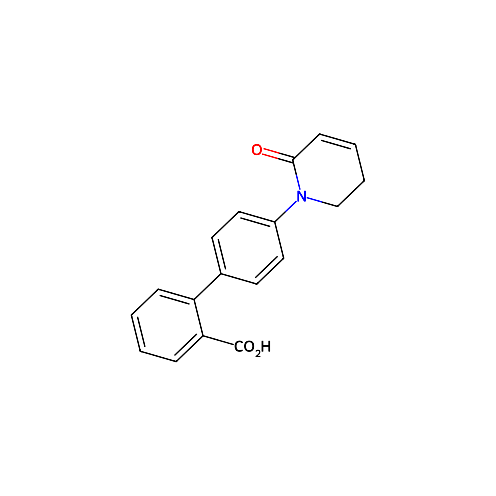 O=C(O)c1ccccc1-c1ccc(N2CCC=CC2=O)cc1